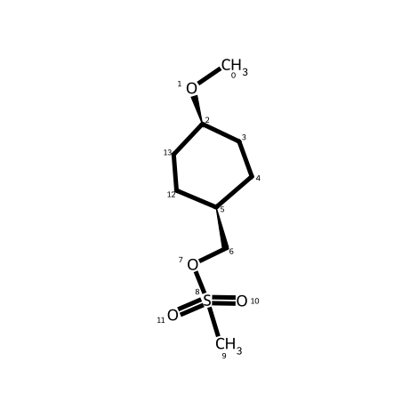 CO[C@H]1CC[C@@H](COS(C)(=O)=O)CC1